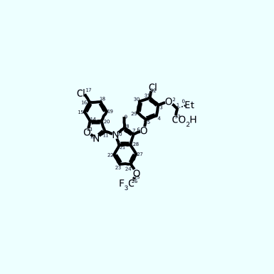 CC[C@@H](Oc1cc(Oc2c(C)n(-c3noc4cc(Cl)ccc34)c3ccc(OC(F)(F)F)cc23)ccc1Cl)C(=O)O